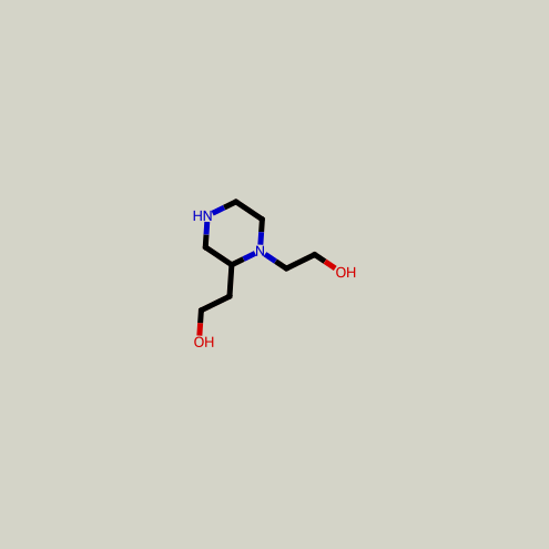 OCCC1CNCCN1CCO